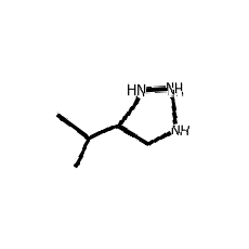 CC(C)C1CNNN1